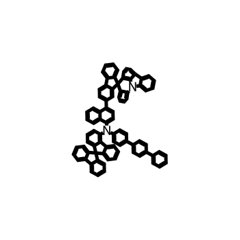 c1ccc(-c2ccc(-c3ccc(N(c4cccc5c4-c4ccccc4C54c5ccccc5-c5ccccc54)c4ccc(-c5ccc6c(c5)C5(c7ccccc7-6)c6ccccc6-n6c7ccccc7c7cccc5c76)c5ccccc45)cc3)cc2)cc1